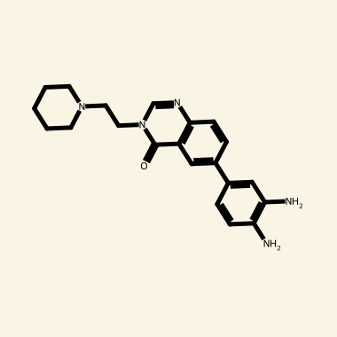 Nc1ccc(-c2ccc3ncn(CCN4CCCCC4)c(=O)c3c2)cc1N